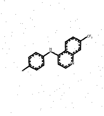 [CH2]c1ccc(Nc2ccnc3cc(C(F)(F)F)ccc23)cc1